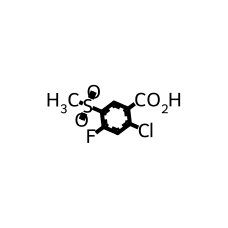 CS(=O)(=O)c1cc(C(=O)O)c(Cl)cc1F